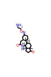 C[C@]12CC/C(=N/OCCN)CC1CC(=O)N[C@@H]1[C@@H]2CC[C@]2(C)C(=O)CC[C@@H]12